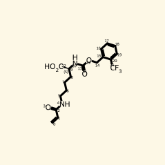 C=CC(=O)NCCCC[C@H](NC(=O)OCc1ccccc1C(F)(F)F)C(=O)O